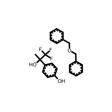 CC(O)(c1ccc(O)cc1)C(F)(F)F.c1ccc(COCc2ccccc2)cc1